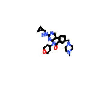 CN1CCN(Cc2ccc3c(c2)c(=O)n(C2CCOCC2)c2nc(NCC4CC4)ncc32)CC1